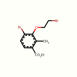 CCOC(=O)c1ccc(Br)c(OCCBr)c1C